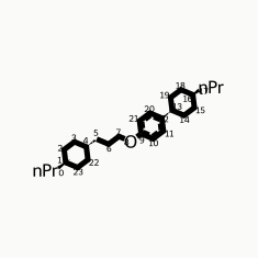 CCC[C@H]1CC[C@H](CCCOc2ccc([C@H]3CC[C@H](CCC)CC3)cc2)CC1